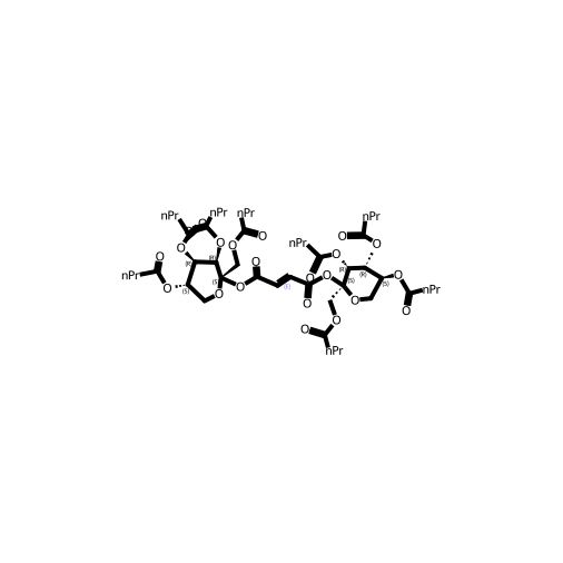 CCCC(=O)OC[C@@]1(OC(=O)/C=C/C(=O)O[C@]2(COC(=O)CCC)OC[C@H](OC(=O)CCC)[C@@H](OC(=O)CCC)[C@H]2OC(=O)CCC)OC[C@H](OC(=O)CCC)[C@@H](OC(=O)CCC)[C@H]1OC(=O)CCC